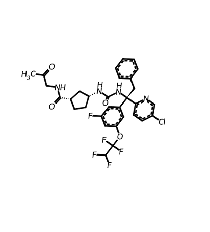 CC(=O)CNC(=O)[C@H]1CC[C@@H](NC(=O)N[C@@](Cc2ccccc2)(c2cc(F)cc(OC(F)(F)C(F)F)c2)c2ccc(Cl)cn2)C1